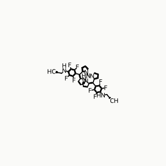 C#CCNc1c(F)c(F)c(/C(=C2\C=CC=N2)c2cccn2Nn2cccc2/C(=C2/C=CC=N2)c2c(F)c(F)c(NCC#C)c(F)c2F)c(F)c1F